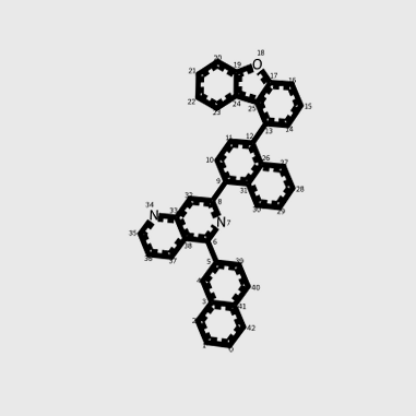 c1ccc2cc(-c3nc(-c4ccc(-c5cccc6oc7ccccc7c56)c5ccccc45)cc4ncccc34)ccc2c1